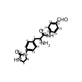 NC(Cc1ccc(N2CCNC2=O)cc1)C(=O)Nc1ccc(C=O)cc1